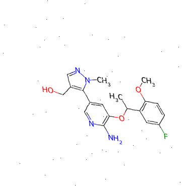 COc1ccc(F)cc1C(C)Oc1cc(-c2c(CO)cnn2C)cnc1N